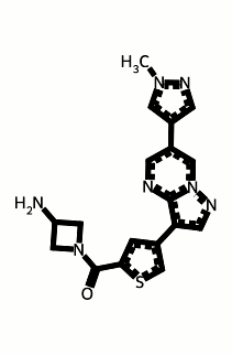 Cn1cc(-c2cnc3c(-c4csc(C(=O)N5CC(N)C5)c4)cnn3c2)cn1